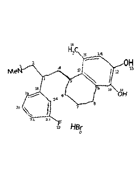 Br.CNCC(CC1CCCc2c(O)c(O)cc(C)c21)c1cccc(F)c1